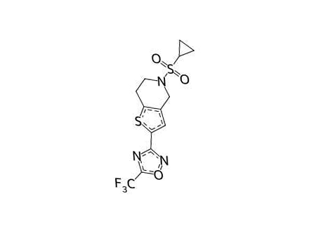 O=S(=O)(C1CC1)N1CCc2sc(-c3noc(C(F)(F)F)n3)cc2C1